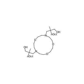 CCCCCCCCC(C)(CO)CN1CCOCCOCCN(CC(C)(CO)CCCCCCCC)CCOCC1